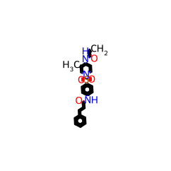 C=CC(=O)NC1CCN(S(=O)(=O)c2ccc(NC(=O)CCc3ccccc3)cc2)CC1C